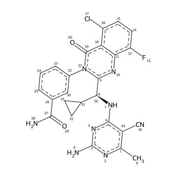 Cc1nc(N)nc(N[C@H](c2nc3c(F)ccc(Cl)c3c(=O)n2-c2cccc(C(N)=O)c2)C2CC2)c1C#N